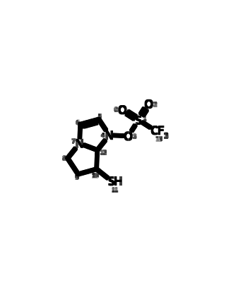 O=S(=O)(ON1C=CN2CCC(S)C21)C(F)(F)F